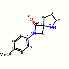 COc1ccc(N2CC3(CCCN3)C2=O)cc1